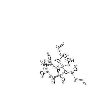 C=CC(=O)OC(CO)(OC(=O)C=C)n1c(=O)[nH]c(=O)[nH]c1=O